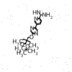 CCC(CC)(COc1cnc(-c2ccc(C(=N)N)nc2)cn1)C(=O)OC(C)(C)C